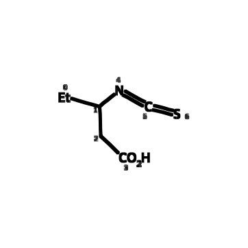 CCC(CC(=O)O)N=C=S